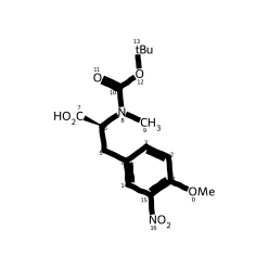 COc1ccc(C[C@@H](C(=O)O)N(C)C(=O)OC(C)(C)C)cc1[N+](=O)[O-]